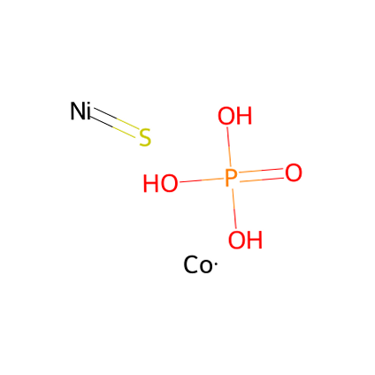 O=P(O)(O)O.[Co].[S]=[Ni]